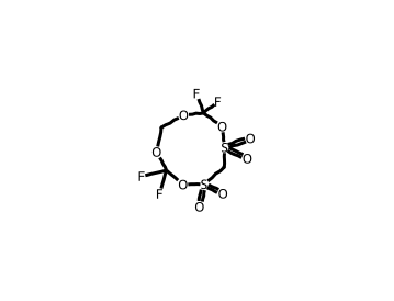 O=S1(=O)CS(=O)(=O)OC(F)(F)OCOC(F)(F)O1